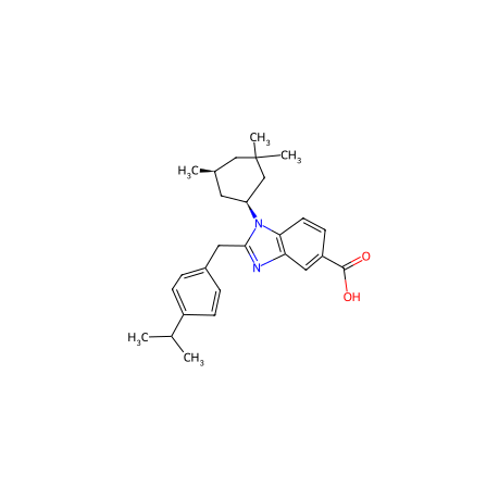 CC(C)c1ccc(Cc2nc3cc(C(=O)O)ccc3n2[C@H]2C[C@@H](C)CC(C)(C)C2)cc1